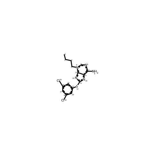 CCCCn1cnc(N)c2nc(Sc3cc(Cl)cc(Cl)c3)nc1-2